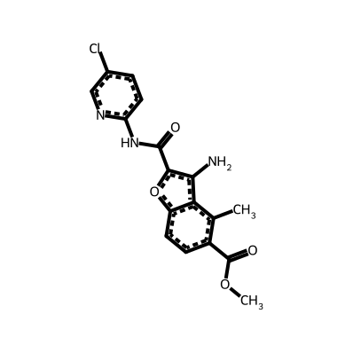 COC(=O)c1ccc2oc(C(=O)Nc3ccc(Cl)cn3)c(N)c2c1C